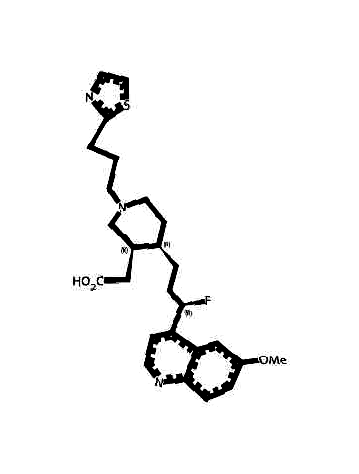 COc1ccc2nccc([C@H](F)CC[C@@H]3CCN(CCCc4nccs4)C[C@@H]3CC(=O)O)c2c1